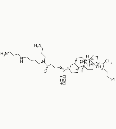 CC(C)CCCC(C)[C@H]1CC[C@H]2[C@@H]3CC=C4C[C@@H](SSCCC(=O)N(CCCN)CCCCNCCCN)CC[C@]4(C)[C@H]3CC[C@]12C.Cl.Cl.Cl